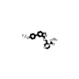 CC(C)(C)OC(=O)N1CCOCC1COc1noc2ccc(-c3ccc(OC(F)(F)F)cc3)cc12